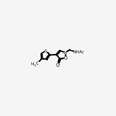 CC(=O)NCn1cc(-c2cc(C)cs2)c(=O)o1